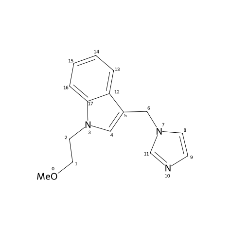 COCCn1cc(Cn2ccnc2)c2ccccc21